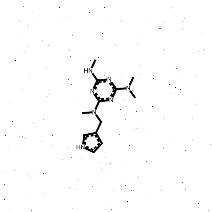 CNc1nc(N(C)C)nc(N(C)Cc2cc[nH]c2)n1